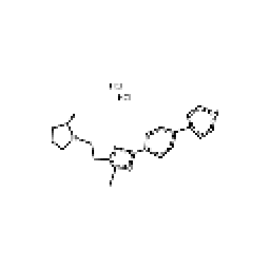 Cc1oc(-c2ccc(-c3ccncc3)cc2)nc1CCN1CCC[C@H]1C.Cl.Cl